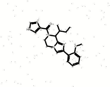 CCC(C)C1c2nc(-c3ccccc3OC)cn2CCN1C(=O)c1c[nH]cn1